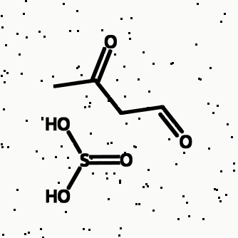 CC(=O)CC=O.O=S(O)O